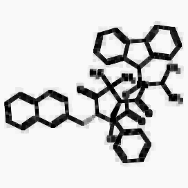 CC(N)NC(=O)[C@@H](Cc1ccccc1)C(C)(N)C(=O)[C@@H](Cc1ccc2ccccc2c1)N(C)C(=O)OCC1c2ccccc2-c2ccccc21